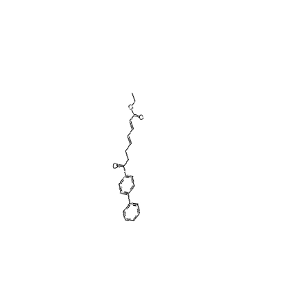 CCOC(=O)C=CC=CCCC(=O)c1ccc(-c2ccccc2)cc1